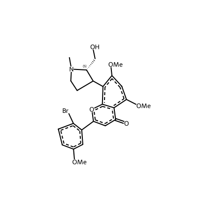 COc1ccc(Br)c(-c2cc(=O)c3c(OC)cc(OC)c(C4CCN(C)[C@@H]4CO)c3o2)c1